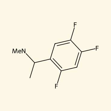 CNC(C)c1cc(F)c(F)cc1F